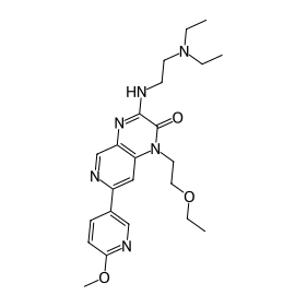 CCOCCn1c(=O)c(NCCN(CC)CC)nc2cnc(-c3ccc(OC)nc3)cc21